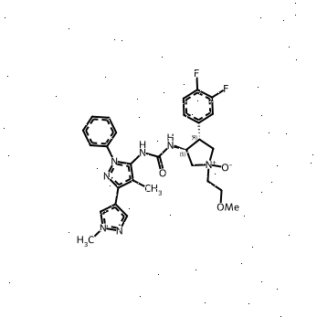 COCC[N+]1([O-])C[C@@H](NC(=O)Nc2c(C)c(-c3cnn(C)c3)nn2-c2ccccc2)[C@H](c2ccc(F)c(F)c2)C1